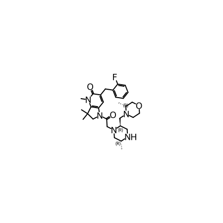 C[C@@H]1CN(CC(=O)N2CC(C)(C)c3c2cc(Cc2ccccc2F)c(=O)n3C)[C@@H](CN2CCOC[C@H]2C)CN1